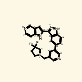 FC1(F)CCN(Cc2cncc(-c3ccc4[nH]nc(-c5cc6cnccc6[nH]5)c4c3)c2)C1